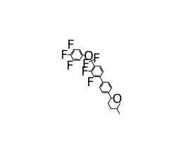 CC1CCC(c2ccc(-c3ccc(C(F)(F)Oc4cc(F)c(F)c(F)c4)c(F)c3F)cc2)OC1